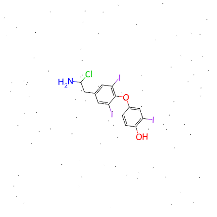 NC(Cl)Cc1cc(I)c(Oc2ccc(O)c(I)c2)c(I)c1